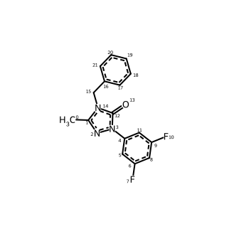 Cc1nn(-c2cc(F)cc(F)c2)c(=O)n1Cc1ccccc1